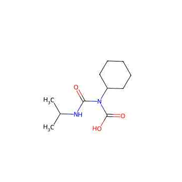 CC(C)NC(=O)N(C(=O)O)C1CCCCC1